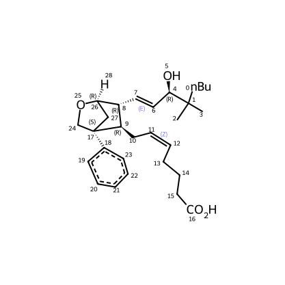 CCCCC(C)(C)[C@H](O)/C=C/[C@@H]1[C@@H](C/C=C\CCCC(=O)O)[C@@]2(c3ccccc3)CO[C@@H]1C2